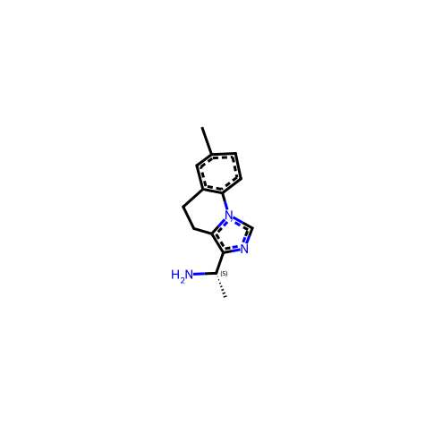 Cc1ccc2c(c1)CCc1c([C@H](C)N)ncn1-2